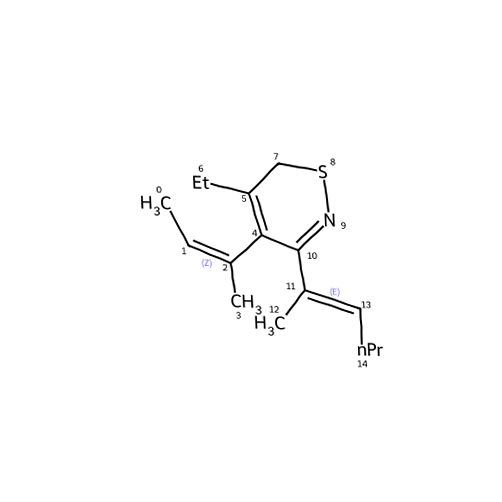 C/C=C(/C)C1=C(CC)CSN=C1/C(C)=C/CCC